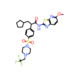 COc1ccc2nc(NC(=O)C(CC3CCCC3)c3ccc(S(=O)(=O)N4CCN(CC(F)(F)F)CC4)cc3)sc2n1